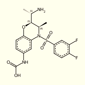 C[C@H](N)[C@@H]1Oc2ccc(NC(=O)O)cc2N(S(=O)(=O)c2ccc(F)c(F)c2)[C@@H]1C